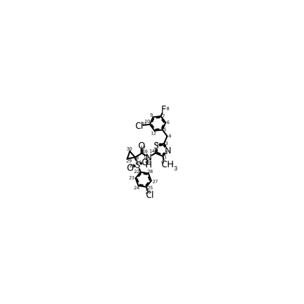 Cc1nc(Cc2cc(F)cc(Cl)c2)sc1NC(=O)C1(S(=O)(=O)c2ccc(Cl)cc2)CC1